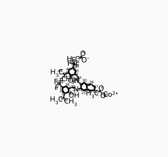 CC(=O)[O-].CC(=O)[O-].CC(C)c1cc(C(F)(F)F)cc(C=Nc2cc3ccccc3cc2N=Cc2cc(C(F)(F)F)cc(C(C)C)c2O)c1O.[Co+2]